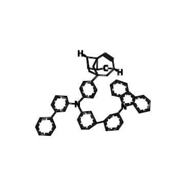 C1#CC23CC4(c5ccc(N(c6cccc(-c7ccccc7)c6)c6cccc(-c7cccc(-n8c9ccccc9c9ccccc98)c7)c6)cc5)C[C@@H]1CC2C[C@H]3C4